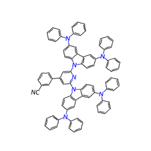 N#Cc1cccc(-c2cc(-n3c4ccc(N(c5ccccc5)c5ccccc5)cc4c4cc(N(c5ccccc5)c5ccccc5)ccc43)nc(-n3c4ccc(N(c5ccccc5)c5ccccc5)cc4c4cc(N(c5ccccc5)c5ccccc5)ccc43)c2)c1